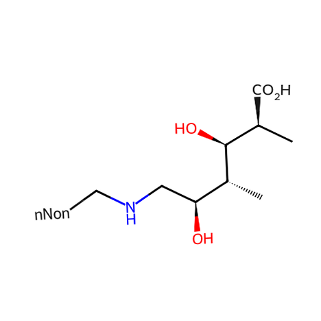 CCCCCCCCCCNC[C@H](O)[C@@H](C)[C@@H](O)[C@H](C)C(=O)O